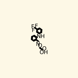 O=C(O)CON=Cc1ccccc1Nc1cccc(C(F)(F)F)c1